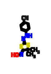 CC1(C)SC(=NNc2ccc(C#N)cc2)SC1=NO